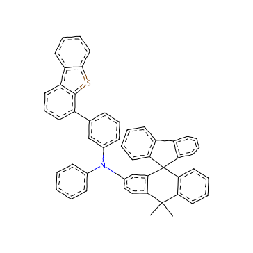 CC1(C)c2ccccc2C2(c3ccccc3-c3ccccc32)c2cc(N(c3ccccc3)c3cccc(-c4cccc5c4sc4ccccc45)c3)ccc21